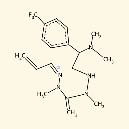 C=C/C=N\N(C)C(=C)N(C)NCC(c1ccc(C(F)(F)F)cc1)N(C)C